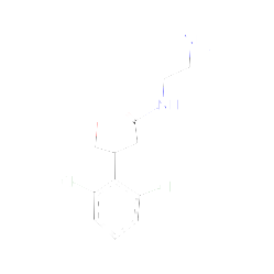 NCCNC(=O)CC(CO)c1c(Cl)cccc1Cl